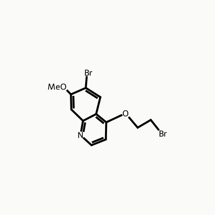 COc1cc2nccc(OCCBr)c2cc1Br